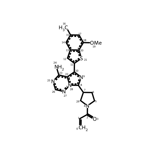 C=CC(=O)N1CCC(c2nc(-c3cc4cc(C)cc(OC)c4s3)c3c(N)ncnn23)C1